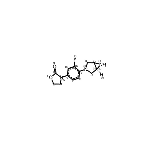 O=C1O[CH]CN1c1ccc(N2CC3N[C@H]3C2)c(F)c1